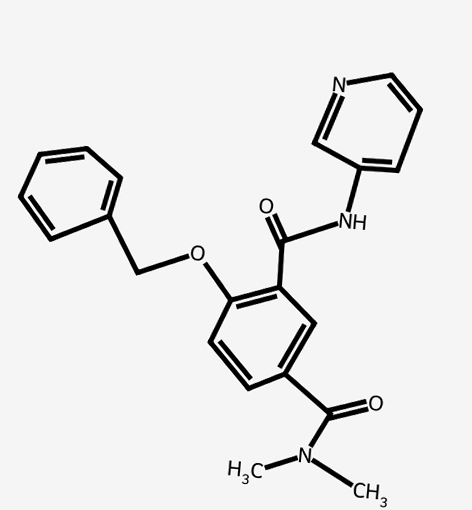 CN(C)C(=O)c1ccc(OCc2ccccc2)c(C(=O)Nc2cccnc2)c1